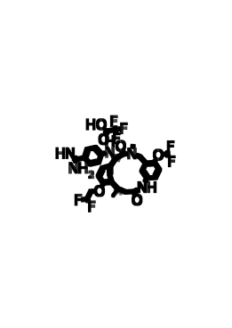 C[C@@H]1CC(=O)Nc2ccc(OC(F)F)c(c2)CN(C)C(=O)[C@H](Nc2ccc(C(=N)N)cc2)c2ccc(OCC(F)F)c1c2.O=C(O)C(F)(F)F